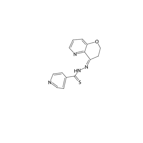 S=C(N/N=C1/CCOc2cccnc21)c1ccncc1